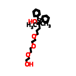 CC(C)(CCCOCCOCCOCCO)[Si](O)(c1ccccc1)c1ccccc1